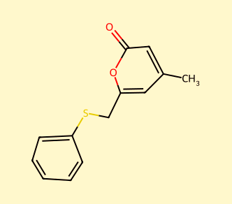 Cc1cc(CSc2ccccc2)oc(=O)c1